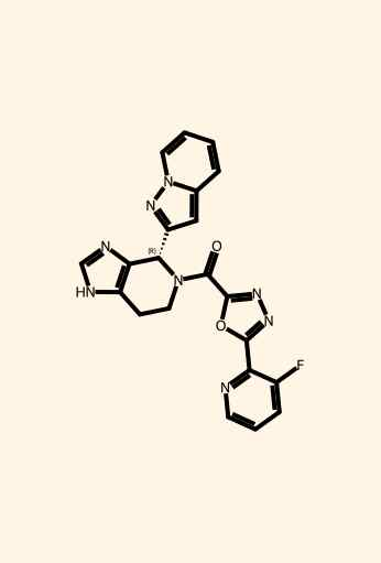 O=C(c1nnc(-c2ncccc2F)o1)N1CCc2[nH]cnc2[C@@H]1c1cc2ccccn2n1